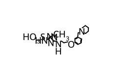 Cn1nc(NS(=O)(=O)O)nc1NCCCOc1cccc(CN2CCCCC2)c1